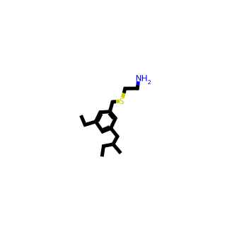 CCc1cc(CSCCN)cc(CC(C)CC)c1